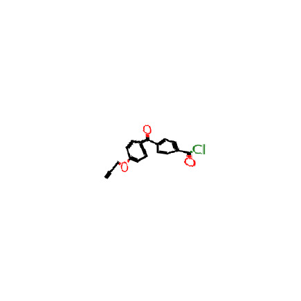 C#CCOc1ccc(C(=O)c2ccc(C(=O)Cl)cc2)cc1